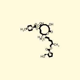 C/C(=C\C=C\[C@@H](C)COC(=O)N1CCC[C@H]1CO)[C@H]1OC(=O)C[C@H](O)CC[C@@](C)(O)[C@@H](OC(=O)N2CCN(C)CC2)/C=C/[C@@H]1C